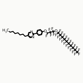 CCCCCCCCc1cnc(-c2ccc(OC(F)C(F)(F)C(F)(F)OC(F)(F)C(F)(F)C(F)(F)C(F)(F)C(F)(F)C(F)(F)C(F)(F)C(F)(F)C(F)(F)C(F)(F)F)cc2)nc1